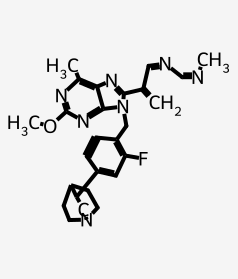 C=C(/C=N\C=N/C)c1nc2c(C)nc(OC)nc2n1Cc1c#cc(C2CN3CCC2CC3)cc1F